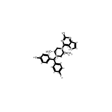 C[C@@H]1CN(c2nc(Cl)nc3ccoc23)[C@@H](C)CN1C(c1ccc(F)cc1)c1ccc(F)cc1